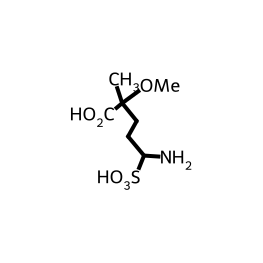 COC(C)(CCC(N)S(=O)(=O)O)C(=O)O